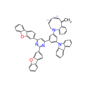 C=C1/C=C\C=C/CN(c2cc(-c3cc(-c4ccc5c(c4)oc4ccccc45)nc(-c4ccc5c(c4)oc4ccccc45)n3)cc(-n3c4ccccc4c4ccccc43)c2)c2ccccc21